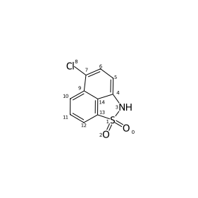 O=S1(=O)Nc2ccc(Cl)c3cccc1c23